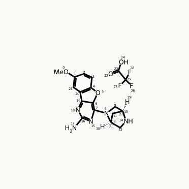 COc1ccc2oc3c(N4C[C@@H]5C[C@H]4CN5)nc(N)nc3c2c1.O=C(O)C(F)(F)F